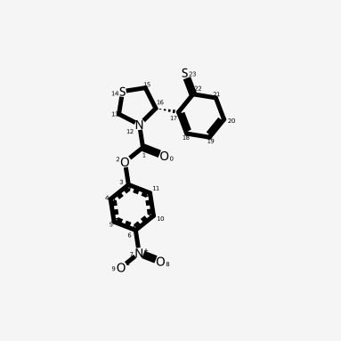 O=C(Oc1ccc([N+](=O)[O-])cc1)N1CSC[C@@H]1C1=CC=CCC1=S